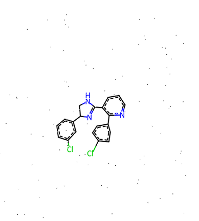 Clc1ccc(-c2ncccc2C2=NC(c3cccc(Cl)c3)CN2)cc1